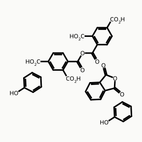 O=C(O)c1ccc(C(=O)OC(=O)c2ccc(C(=O)O)cc2C(=O)O)c(C(=O)O)c1.O=C1OC(=O)c2ccccc21.Oc1ccccc1.Oc1ccccc1